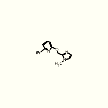 CC(C)c1cccc(OCc2nccn2C)n1